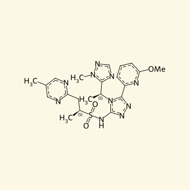 COc1cccc(-c2nnc(NS(=O)(=O)[C@@H](C)Cc3ncc(C)cn3)n2[C@@H](C)c2ncnn2C)n1